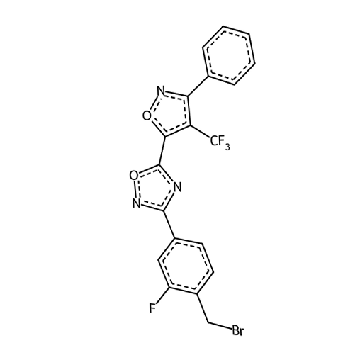 Fc1cc(-c2noc(-c3onc(-c4ccccc4)c3C(F)(F)F)n2)ccc1CBr